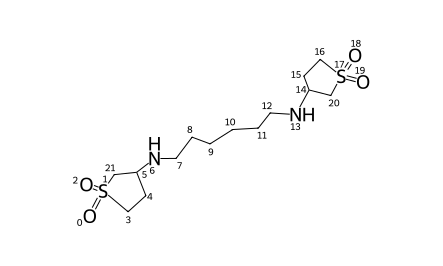 O=S1(=O)CCC(NCCCCCCNC2CCS(=O)(=O)C2)C1